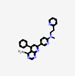 CN(CCc1ccccn1)c1ccc(-c2cc(-c3ccccc3)c3c([AsH2])ncnc3n2)cn1